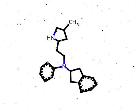 CC1CNC(CCN(c2ccccc2)C2Cc3ccccc3C2)C1